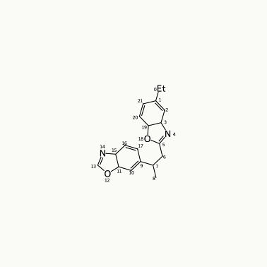 CCC1=CC2N=C(CC(C)C3=CC4OC=NC4C=C3)OC2C=C1